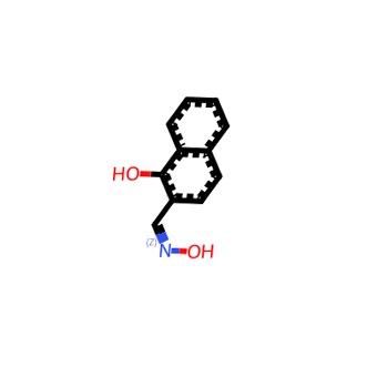 O/N=C\c1ccc2ccccc2c1O